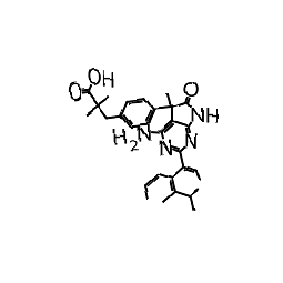 C\C=C/C(=C(\C)C(C)C)C(=C\C)/c1nc(N)c2c(n1)NC(=O)C2(C)c1ccc(CC(C)(C)C(=O)O)cc1